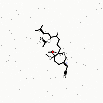 COC1(OC)CC/C(=C\C#N)CO[C@@]1(C)CCCC(C)C(CC=C(C)C)OC(C)=O